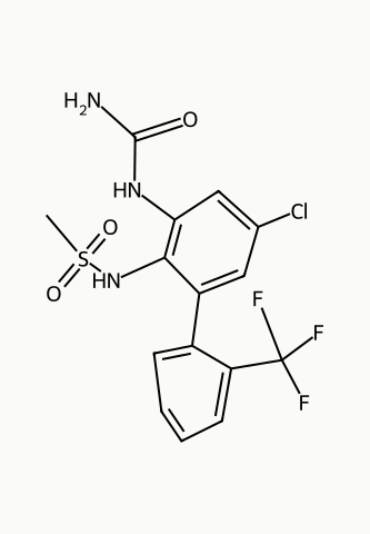 CS(=O)(=O)Nc1c(NC(N)=O)cc(Cl)cc1-c1ccccc1C(F)(F)F